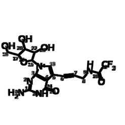 Nc1nc2c(c(C#CCNC(=O)C(F)(F)F)cn2C2OC(CO)C(O)C2O)c(=O)[nH]1